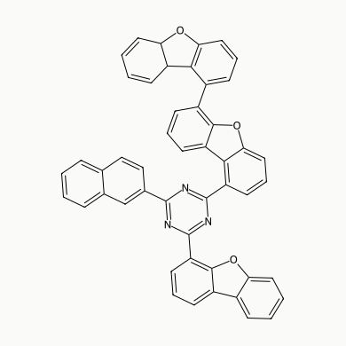 C1=CC2Oc3cccc(-c4cccc5c4oc4cccc(-c6nc(-c7ccc8ccccc8c7)nc(-c7cccc8c7oc7ccccc78)n6)c45)c3C2C=C1